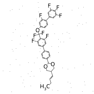 CC/C=C/C1COC(c2ccc(-c3cc(F)c(C(F)(F)Oc4ccc(-c5cc(F)c(F)c(F)c5)c(F)c4)c(F)c3)cc2)OC1